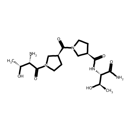 C[C@@H](O)[C@H](N)C(=O)N1CC[C@H](C(=O)N2CC[C@@H](C(=O)N[C@H](C(N)=O)[C@@H](C)O)C2)C1